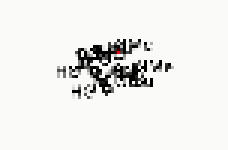 CN[C@@H](C)C(=O)NC(C(=O)N1CCC[C@H]1CCc1c(-c2ccc(-c3c(C[C@@H]4CCCN4C(=O)C(NC(=O)[C@H](C)NC)C(C)(C)C)c4ccccc4n3CCO)cc2)n(CCO)c2ccccc12)C(C)(C)C